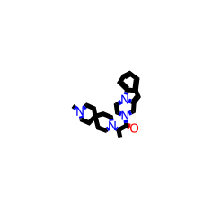 CC(C(=O)N1CCn2c(cc3ccccc32)C1)N1CCC2(CCN(C)CC2)CC1